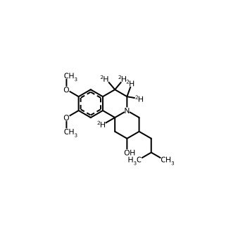 [2H]C12CC(O)C(CC(C)C)CN1C([2H])([2H])C([2H])([2H])c1cc(OC)c(OC)cc12